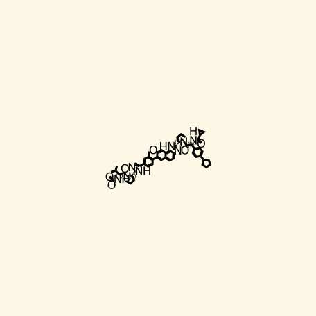 COC(=O)N[C@H](C(=O)N1CCC[C@H]1c1ncc(-c2ccc3c(c2)COc2cc4c(ccc5nc([C@@H]6CCCN6C(=O)[C@H](NC(=O)C6CC6)c6ccc(C7CCCC7)cc6)[nH]c54)cc2-3)[nH]1)C(C)C